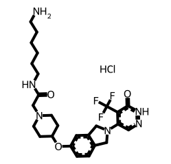 Cl.NCCCCCCNC(=O)CN1CCC(Oc2ccc3c(c2)CN(c2cn[nH]c(=O)c2C(F)(F)F)C3)CC1